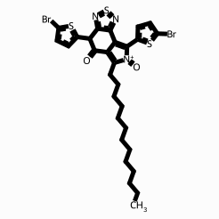 CCCCCCCCCCCCCC1=C2C(=O)C(c3ccc(Br)s3)c3nsnc3C2=C(c2ccc(Br)s2)[N+]1=O